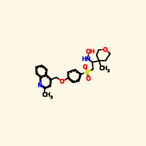 Cc1cc(COc2ccc(S(=O)(=O)CC(NO)C3(C)CCOCC3)cc2)c2ccccc2n1